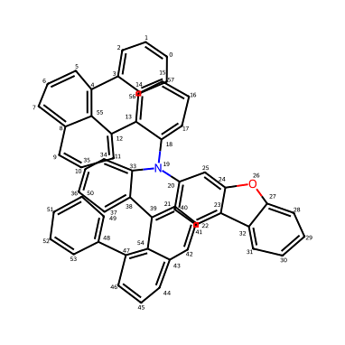 c1ccc(-c2cccc3cccc(-c4ccccc4N(c4ccc5c(c4)oc4ccccc45)c4ccccc4-c4cccc5cccc(-c6ccccc6)c45)c23)cc1